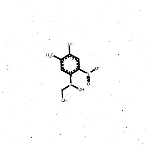 CCN(O)c1cc(C)c(O)cc1[N+](=O)[O-]